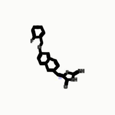 N=C1NC(=O)/C(=C/c2ccc3cc(OCc4ccccc4F)ccc3c2)S1